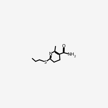 CCCSC1=NC(C)=C(C(N)=O)CC1